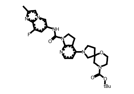 Cc1cn2cc(NC(=O)N3CCc4c(N5CCC6(CN(C(=O)OC(C)(C)C)CCO6)C5)ccnc43)cc(F)c2n1